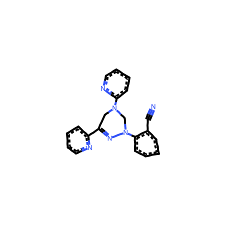 N#Cc1ccccc1N1CN(c2ccccn2)CC(c2ccccn2)=N1